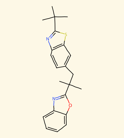 CC(C)(C)c1nc2ccc(CC(C)(C)c3nc4ccccc4o3)cc2s1